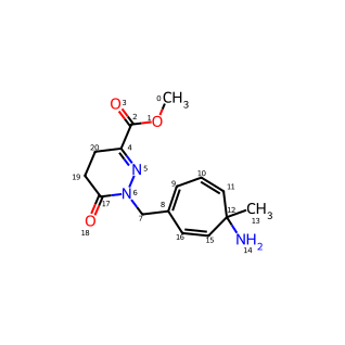 COC(=O)C1=NN(CC2=CC=CC(C)(N)C=C2)C(=O)CC1